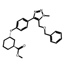 COC(=O)[C@H]1CCC[C@H](Sc2ccc(-c3nnn(C)c3COCc3ccccc3)cc2)C1